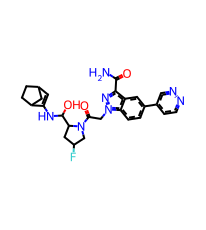 NC(=O)c1nn(CC(=O)N2CC(F)CC2C(O)NC2=CC3CCC2C3)c2ccc(-c3ccnnc3)cc12